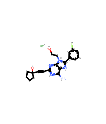 Cl.Nc1nc(C#CC2(O)CCCC2)nc2c1nc(-c1cccc(F)c1)n2CCO